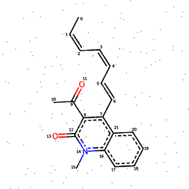 C\C=C/C=C\C=C\c1c(C(C)=O)c(=O)n(C)c2ccccc12